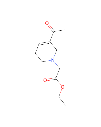 CCOC(=O)CN1CCC=C(C(C)=O)C1